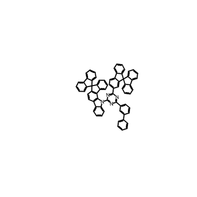 c1ccc(-c2cccc(-c3nc(-c4ccc5c(c4)C4(c6ccccc6-c6ccccc64)c4ccccc4-5)nc(-n4c5ccccc5c5ccc6c(c54)-c4ccccc4C64c5ccccc5-c5ccccc54)n3)c2)cc1